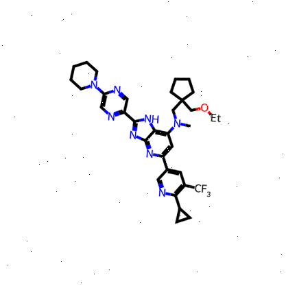 CCOCC1(CN(C)c2cc(-c3cnc(C4CC4)c(C(F)(F)F)c3)nc3nc(-c4cnc(N5CCCCC5)cn4)[nH]c23)CCCC1